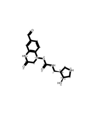 O=Cc1ccc2c(c1)NC(=O)CN2OC(=O)NC[C@H]1CNC[C@H]1O